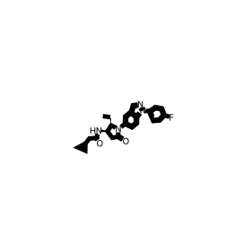 CC[C@H]1[C@H](NC(=O)CC2CC2)CC(=O)N1c1ccc2c(cnn2-c2ccc(F)cc2)c1